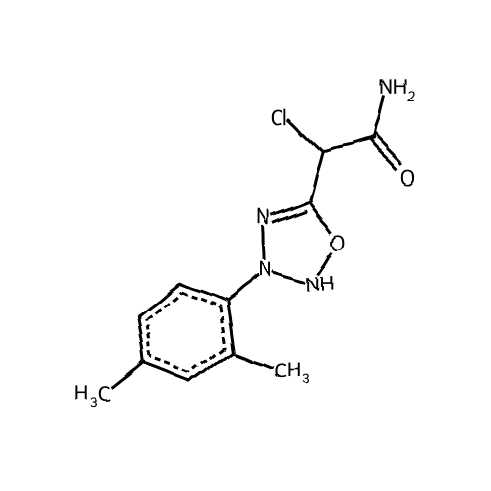 Cc1ccc(N2N=C(C(Cl)C(N)=O)ON2)c(C)c1